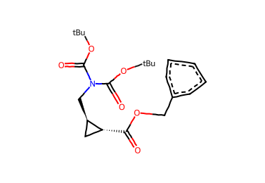 CC(C)(C)OC(=O)N(C[C@@H]1C[C@H]1C(=O)OCc1ccccc1)C(=O)OC(C)(C)C